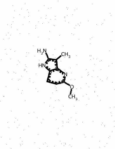 COc1ccc2[nH]c(N)c(C)c2n1